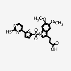 COc1cc2c(CCC(=O)O)cn(S(=O)(=O)c3ccc(-c4ccnc(S)n4)s3)c2cc1OC